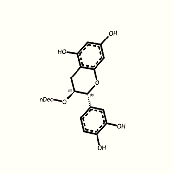 CCCCCCCCCCO[C@H]1Cc2c(O)cc(O)cc2O[C@@H]1c1ccc(O)c(O)c1